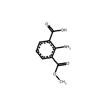 COC(=O)c1cccc(C(=O)O)c1N